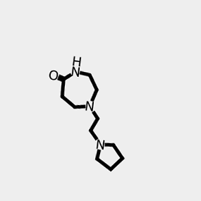 O=C1CCN(CCN2CCCC2)CCN1